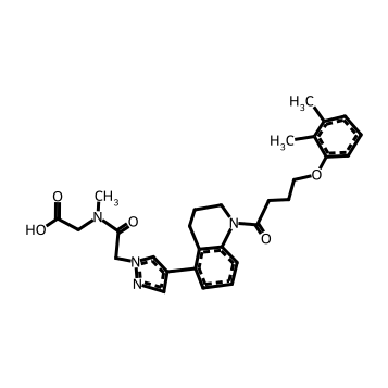 Cc1cccc(OCCCC(=O)N2CCCc3c(-c4cnn(CC(=O)N(C)CC(=O)O)c4)cccc32)c1C